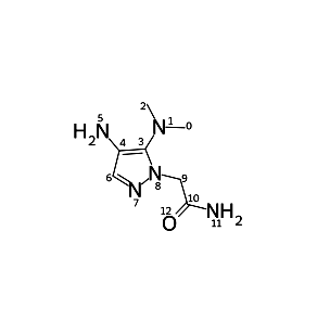 CN(C)c1c(N)cnn1CC(N)=O